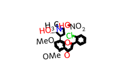 COc1cc(OC)c2c(=O)cc(-c3ccccc3Cl)oc2c1[C@@H]1CCN(C)[C@H]1CO.O=[N+]([O-])O